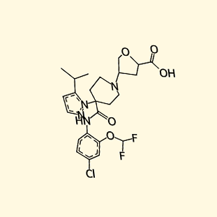 CC(C)c1ccnn1C1(C(=O)Nc2ccc(Cl)cc2OC(F)F)CCN(C2COC(C(=O)O)C2)CC1